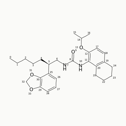 CCCCC[C@@H](CNC(=O)Nc1c(OC(C)C)ccc2c1CCCC2)c1cccc2c1OCO2